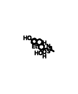 CCC12CC(O)C(O)(c3ncc(C)s3)C[C@H]1CCc1cc(O)ccc12